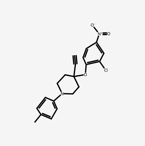 C#CC1(Oc2ccc([N+](=O)[O-])cc2Cl)CCN(c2ccc(C)cc2)CC1